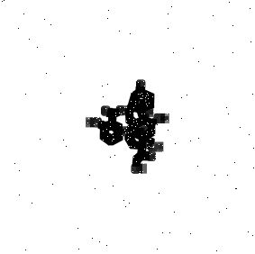 C[C@]12CCC(=O)C=C1CC[C@@H]1[C@@H]2[C@@H](O)C[C@@]2(C)[C@H]1CC[C@]2(O)C(=O)CO.O=C(O)c1ccccc1O